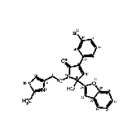 Cc1nc(CON2C(=O)C(c3cccc(Br)c3)=CC2(O)c2cc3ccccc3o2)cs1